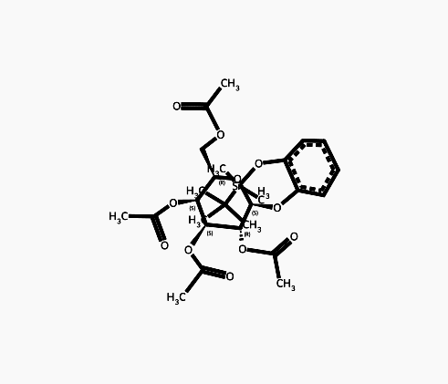 CC(=O)OC[C@H]1O[C@@H](Oc2ccccc2O[Si](C)(C)C(C)(C)C)[C@H](OC(C)=O)[C@@H](OC(C)=O)[C@H]1OC(C)=O